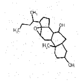 CCCC(C)C1CCC2C3C(O)CC4CC(O)CCC4(C)C3CC3OC312